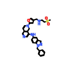 CS(=O)(=O)CCNCc1coc(N2C=Cc3cncc(Nc4ccc5c(cnn5Cc5ccccc5)c4)c3C2)c1